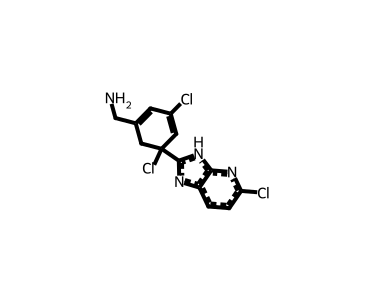 NCC1=CC(Cl)=CC(Cl)(c2nc3ccc(Cl)nc3[nH]2)C1